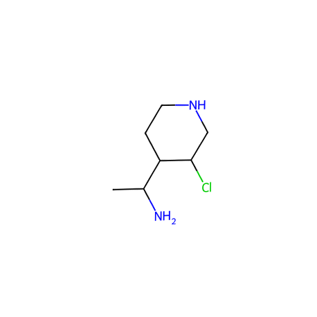 CC(N)C1CCNCC1Cl